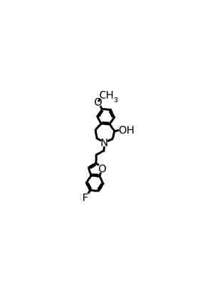 COc1ccc2c(c1)CCN(CCc1cc3cc(F)ccc3o1)CC2O